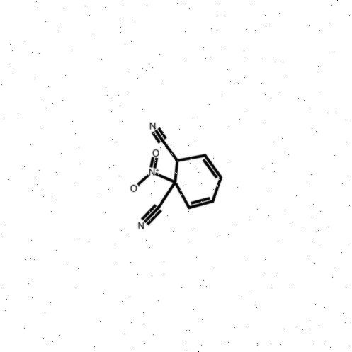 N#CC1C=CC=CC1(C#N)[N+](=O)[O-]